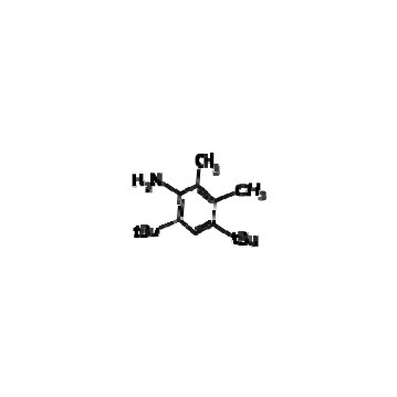 Cc1c(C(C)(C)C)cc(C(C)(C)C)c(N)c1C